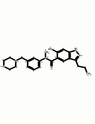 CCCc1n[nH]c2cc(O)c(C(=O)N(C)c3cccc(CN4CCOCC4)c3)cc12